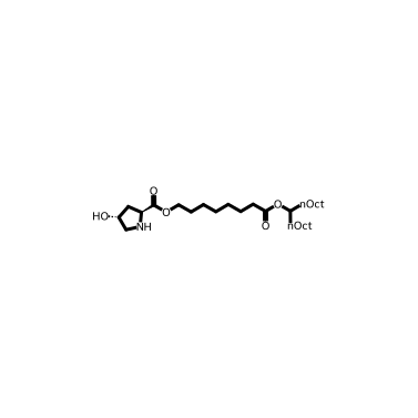 CCCCCCCCC(CCCCCCCC)OC(=O)CCCCCCCOC(=O)[C@@H]1C[C@@H](O)CN1